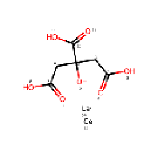 O=C(O)CC(O)(CC(=O)O)C(=O)O.[Ce].[La]